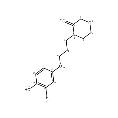 O=C1COCCN1CCCOc1ccc(O)c(F)c1